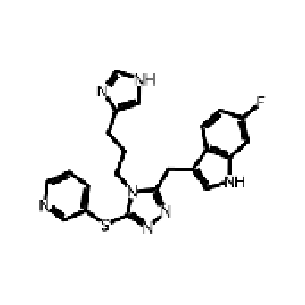 Fc1ccc2c(Cc3nnc(Sc4cccnc4)n3CCCc3c[nH]cn3)c[nH]c2c1